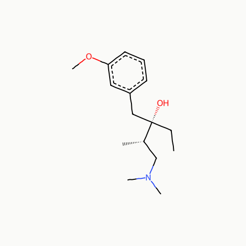 CC[C@](O)(Cc1cccc(OC)c1)[C@@H](C)CN(C)C